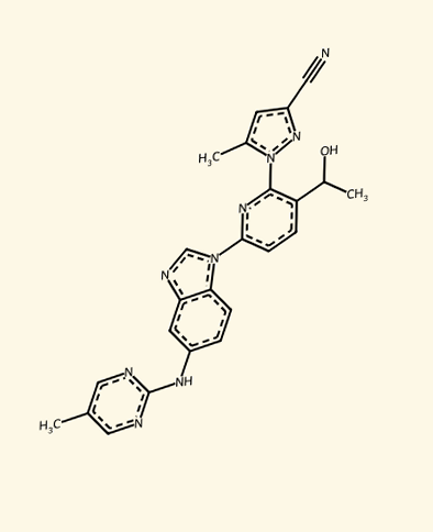 Cc1cnc(Nc2ccc3c(c2)ncn3-c2ccc(C(C)O)c(-n3nc(C#N)cc3C)n2)nc1